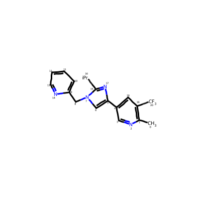 Cc1ncc(-c2cn(Cc3ccccn3)c(C(C)C)n2)cc1C(F)(F)F